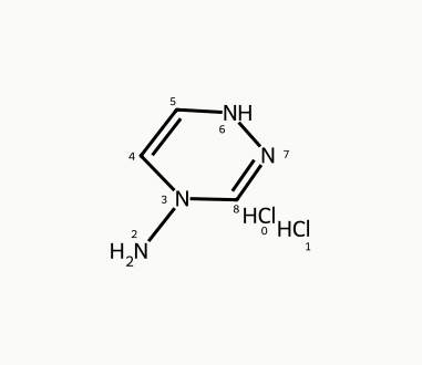 Cl.Cl.NN1C=CNN=C1